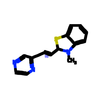 CN1c2ccccc2SC1/C=C/c1cnccn1